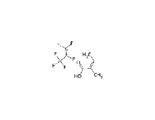 CC=C(C)C(=O)O.FC(F)=C(F)C(F)(F)F